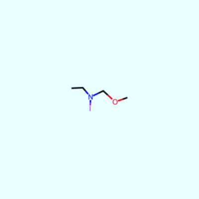 CCN(I)COC